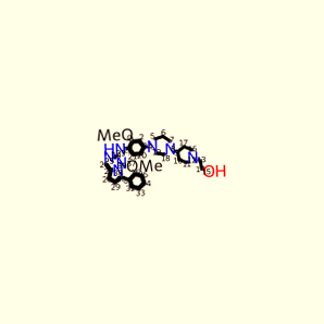 COc1cc(N2CCCN(C3CCN(CCO)CC3)CC2)ccc1Nc1ncc2ccc(-c3ccccc3OC)n2n1